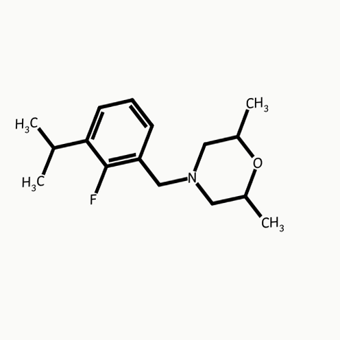 CC1CN(Cc2cccc(C(C)C)c2F)CC(C)O1